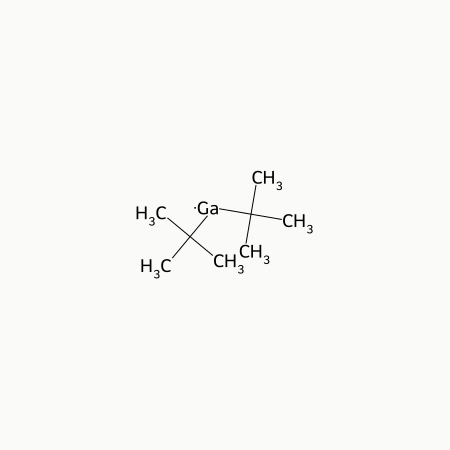 C[C](C)(C)[Ga][C](C)(C)C